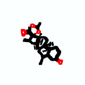 C=C1C[C@H]2[C@@H]3C=C(C)C4=CC(=O)CC[C@]4(C)[C@H]3CC[C@]2(C)[C@]1(OC(C)=O)C(C)=O